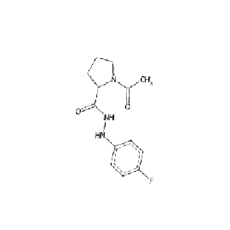 CC(=O)N1CCCC1C(=O)NNc1ccc(F)cc1